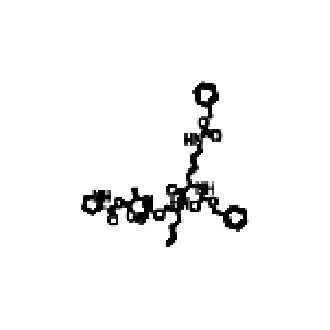 CCCCC(CO[PH](=O)OC(C)C(=O)OC(=O)[C@@H]1CCCN1)NC(=O)C(CCCCNC(=O)OCc1ccccc1)NC(=O)OCc1ccccc1